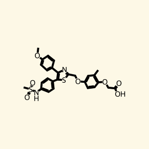 COc1ccc(-c2nc(COc3ccc(OCC(=O)O)c(C)c3)sc2-c2ccc(NS(C)(=O)=O)cc2)cc1